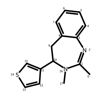 CC1=Nc2ccccc2CC(c2ccsc2)N1C